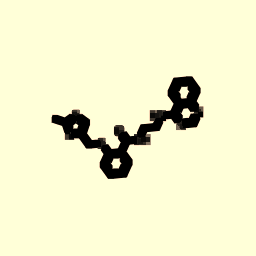 Cc1nc(CSc2ccccc2C(=O)NCCNc2ncnc3ccccc23)cs1